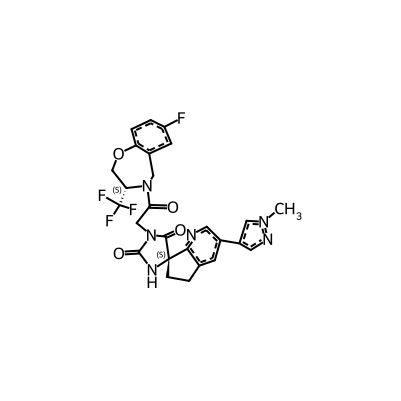 Cn1cc(-c2cnc3c(c2)CC[C@]32NC(=O)N(CC(=O)N3Cc4cc(F)ccc4OC[C@H]3C(F)(F)F)C2=O)cn1